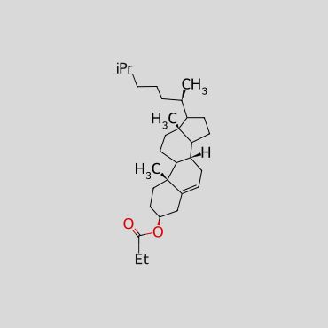 CCC(=O)O[C@H]1CC[C@@]2(C)C(=CC[C@H]3C4CCC([C@H](C)CCCC(C)C)[C@@]4(C)CCC32)C1